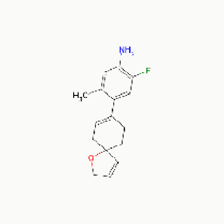 Cc1cc(N)c(F)cc1C1=CCC2(C=CCO2)CC1